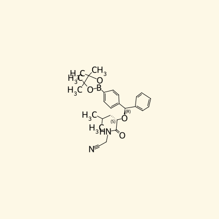 CC(C)C[C@H](O[C@H](c1ccccc1)c1ccc(B2OC(C)(C)C(C)(C)O2)cc1)C(=O)NCC#N